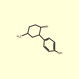 CC1CCC(C(C)C)C(c2ccc(O)cc2)C1